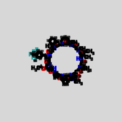 CCO[C@@H]1C[C@H]2C(=O)NC3(CCC3)C(=O)N(C)[C@@H](C3CCCC3)C(=O)N(C)[C@H](C(=O)N(C)C)CC(=O)N(C)[C@@H](CC)C(=O)N[C@@H]([C@@H](C)CC)C(=O)N(C)CC(=O)N(C)[C@H]3C/C=C\CCN(C3=O)[C@@H](CC3CCCCC3)C(=O)N(C)CC(=O)N[C@@H](CCc3cc(F)c(C(F)(F)F)c(F)c3)C(=O)N2C1